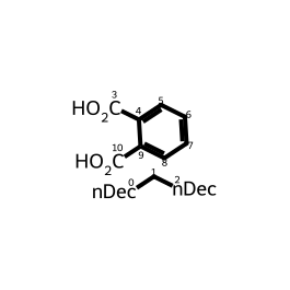 CCCCCCCCCCCCCCCCCCCCC.O=C(O)c1ccccc1C(=O)O